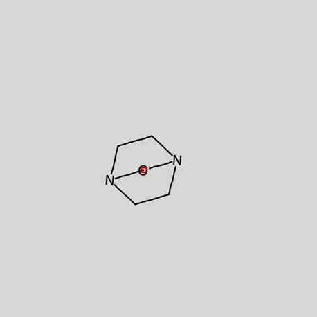 C1CN2CCN1CO2